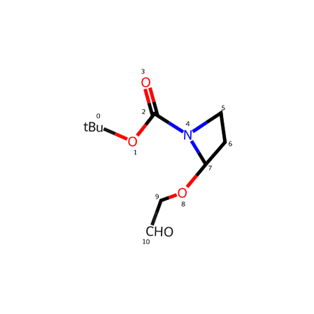 CC(C)(C)OC(=O)N1CCC1OCC=O